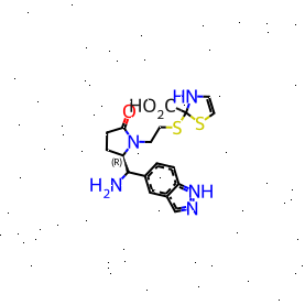 NC(c1ccc2[nH]ncc2c1)[C@H]1CCC(=O)N1CCSC1(C(=O)O)NC=CS1